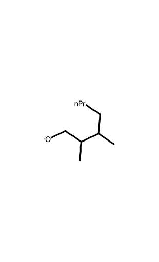 CCCCC(C)C(C)C[O]